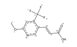 COc1cc(C(F)(F)F)c(/C=C/C(=O)O)cn1